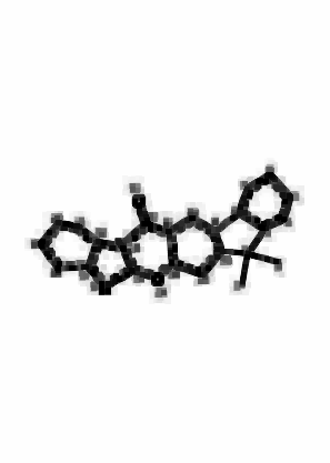 CC1(C)c2ccccc2-c2cc3c(=O)n4c(nc5ccccc54)oc3cc21